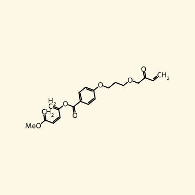 C=CC(=O)COCCCOc1ccc(C(=O)OC(=C)/C=C\C(=C)OC)cc1